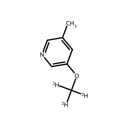 [2H]C([2H])([2H])Oc1cncc(C)c1